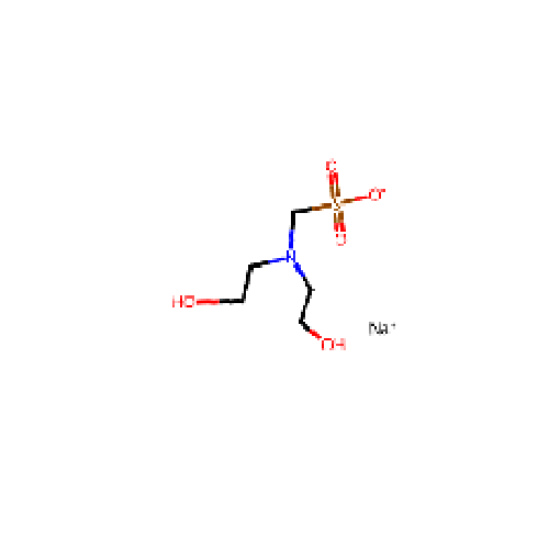 O=S(=O)([O-])CN(CCO)CCO.[Na+]